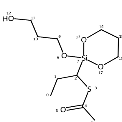 CCC(SC(C)=O)[Si]1(OCCCO)OCCCO1